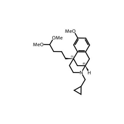 COc1ccc2c(c1)[C@@]1(CCCC(OC)OC)CCN(CC3CC3)[C@@H](C2)C1